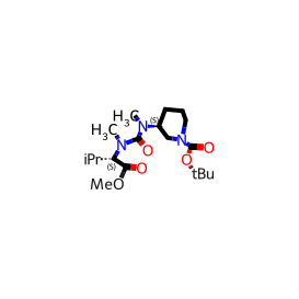 COC(=O)[C@H](C(C)C)N(C)C(=O)N(C)[C@H]1CCCN(C(=O)OC(C)(C)C)C1